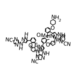 COc1cccc(O[C@H]2CC[C@H](N)CC2)c1-c1cc(Nc2cnc(C#N)cn2)[n+](N[C@H]2CC[C@@H](Oc3c(C)cccc3-c3cc(Nc4cnc(C#N)cn4)[n+](N[C@H]4CC[C@@H](Oc5c(F)cccc5-c5cc(Nc6cnc(C#N)cn6)n[nH]5)C4)[nH]3)C2)[nH]1